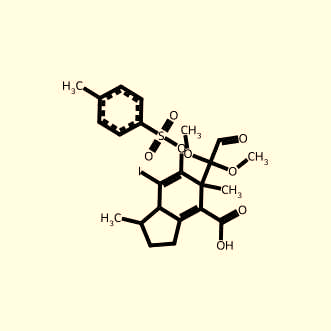 COC(C=O)(OC)C1(C)C(OS(=O)(=O)c2ccc(C)cc2)=C(I)C2C(=C1C(=O)O)CCC2C